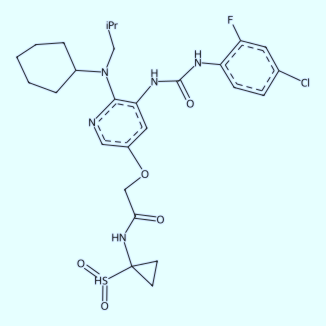 CC(C)CN(c1ncc(OCC(=O)NC2([SH](=O)=O)CC2)cc1NC(=O)Nc1ccc(Cl)cc1F)C1CCCCC1